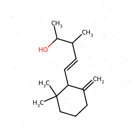 C=C1CCCC(C)(C)C1C=CC(C)C(C)O